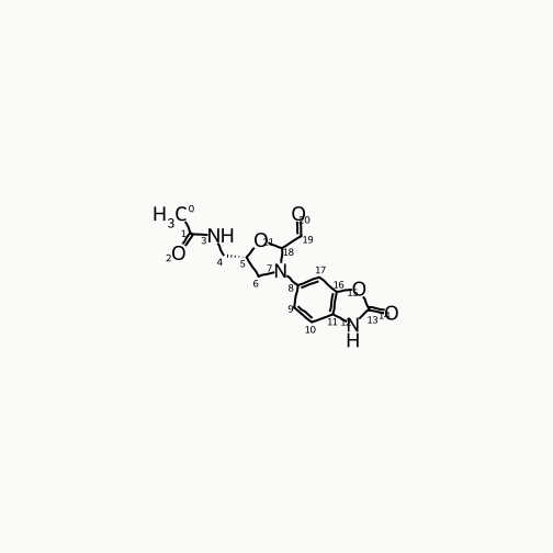 CC(=O)NC[C@H]1CN(c2ccc3[nH]c(=O)oc3c2)C(C=O)O1